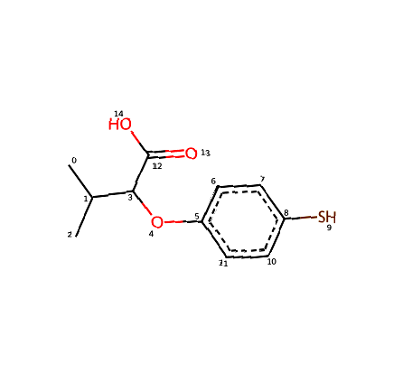 CC(C)C(Oc1ccc(S)cc1)C(=O)O